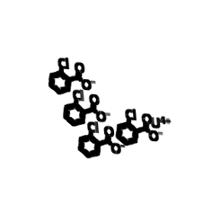 O=C([O-])c1ccccc1Cl.O=C([O-])c1ccccc1Cl.O=C([O-])c1ccccc1Cl.O=C([O-])c1ccccc1Cl.[U+4]